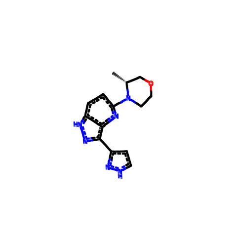 C[C@@H]1COCCN1c1ccc2[nH]nc(-c3cc[nH]n3)c2n1